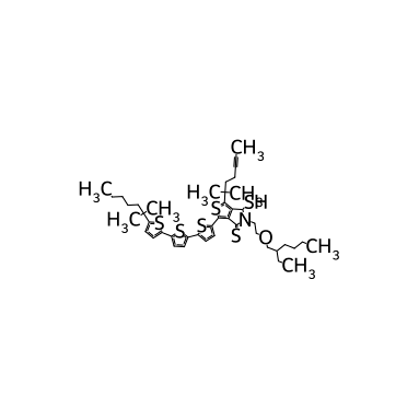 CC#CCCC(C)(C)c1sc(-c2ccc(-c3ccc(-c4ccc(C(C)(C)CCCCC)s4)s3)s2)c2c1C(S)N(CCOCC(CC)CCCC)C2=S